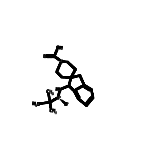 CC(C)(C)[S@@+]([O-])NC1c2ccccc2CC12CCN(C(=O)O)CC2